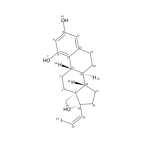 C[C@]12CC[C@@H]3c4c(O)cc(O)cc4CC[C@H]3[C@@H]1CC[C@@]2(O)/C=C\I